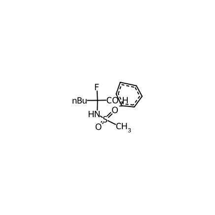 CCCCC(F)(NS(C)(=O)=O)C(=O)O.c1ccccc1